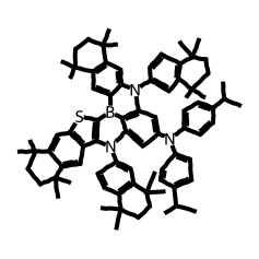 CC(C)c1ccc(N(c2ccc(C(C)C)cc2)c2cc3c4c(c2)N(c2ccc5c(c2)C(C)(C)CCC5(C)C)c2c(sc5cc6c(cc25)C(C)(C)CCC6(C)C)B4c2cc4c(cc2N3c2ccc3c(c2)C(C)(C)CCC3(C)C)C(C)(C)CCC4(C)C)cc1